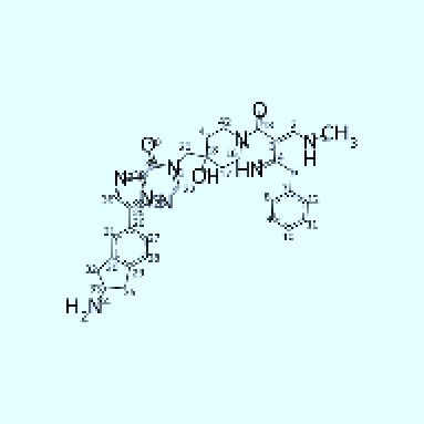 CN/C=C(\C(=N)Cc1ccccc1)C(=O)N1CCC(O)(Cn2cnn3c(-c4ccc5c(c4)CC(N)C5)cnc3c2=O)CC1